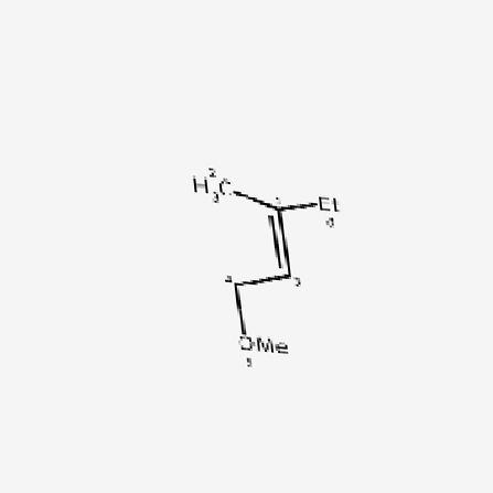 CCC(C)=CCOC